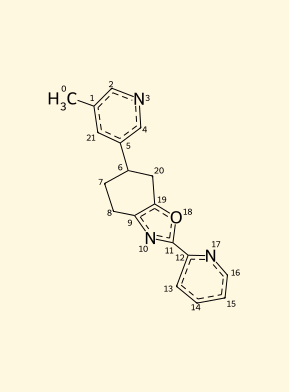 Cc1cncc(C2CCc3nc(-c4ccccn4)oc3C2)c1